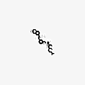 C\C=C(/N=C(/C=C\C=C(C)C)CC)C(=O)NCc1cccc(C(=O)Nc2ccc3c(c2)CN(C)CC3)c1